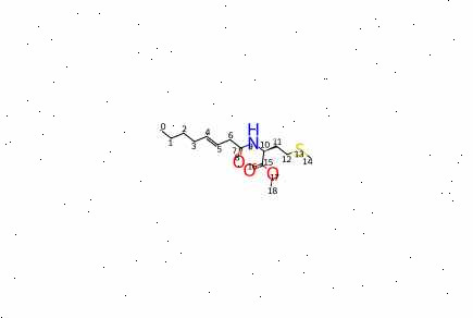 CCCC/C=C/CC(=O)N[C@@H](CCSC)C(=O)OC